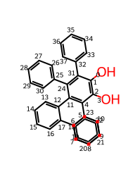 Oc1c(O)c(-c2ccccc2)c(-c2ccccc2-c2ccccc2)c(-c2ccccc2)c1-c1ccccc1